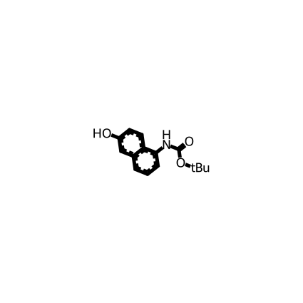 CC(C)(C)OC(=O)Nc1cccc2cc(O)ccc12